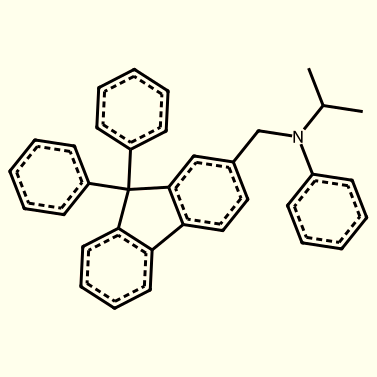 CC(C)N(Cc1ccc2c(c1)C(c1ccccc1)(c1ccccc1)c1ccccc1-2)c1ccccc1